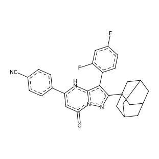 N#Cc1ccc(-c2cc(=O)n3nc(C45CC6CC(CC(C6)C4)C5)c(-c4ccc(F)cc4F)c3[nH]2)cc1